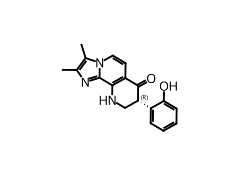 Cc1nc2c3c(ccn2c1C)C(=O)[C@H](c1ccccc1O)CN3